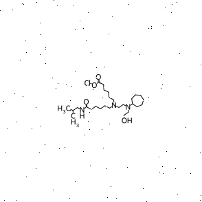 CC(C)CNC(=O)CCCCCN(CCCCCC(=O)OCl)CCN(CCO)C1CCCCCC1